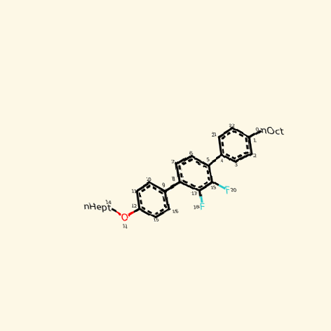 CCCCCCCCc1ccc(-c2ccc(-c3ccc(OCCCCCCC)cc3)c(F)c2F)cc1